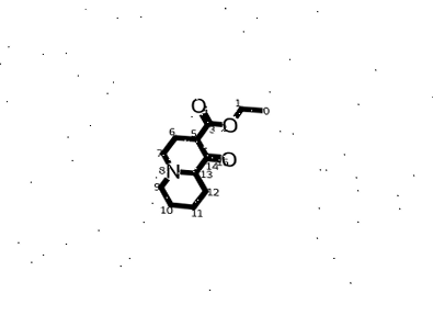 CCOC(=O)C1CCN2CCCCC2C1=O